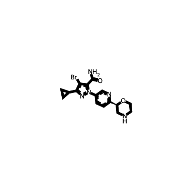 NC(=O)c1c(Br)c(C2CC2)nn1-c1ccc([C@@H]2CNCCO2)nc1